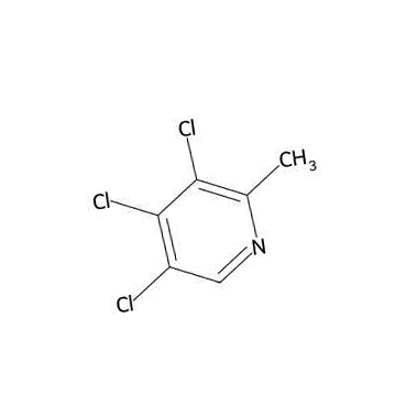 Cc1ncc(Cl)c(Cl)c1Cl